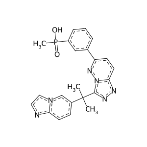 CC(C)(c1ccc2nccn2c1)c1nnc2ccc(-c3cccc(P(C)(=O)O)c3)nn12